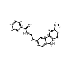 Nc1ccc2[nH]c3ccc(CCNC(=O)c4ccccc4)cc3c2c1